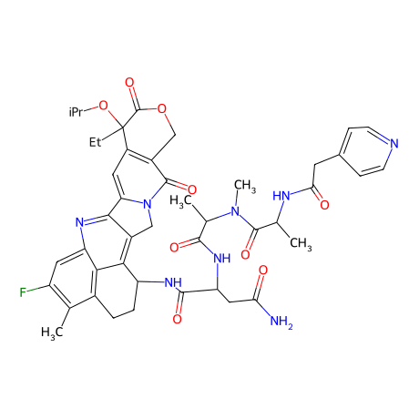 CCC1(OC(C)C)C(=O)OCc2c1cc1n(c2=O)Cc2c-1nc1cc(F)c(C)c3c1c2C(NC(=O)C(CC(N)=O)NC(=O)C(C)N(C)C(=O)C(C)NC(=O)Cc1ccncc1)CC3